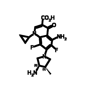 C[C@H]1CN(c2c(F)c(N)c3c(=O)c(C(=O)O)cn(C4CC4)c3c2F)C[C@@H]1N